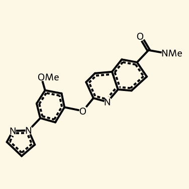 CNC(=O)c1ccc2nc(Oc3cc(OC)cc(-n4cccn4)c3)ccc2c1